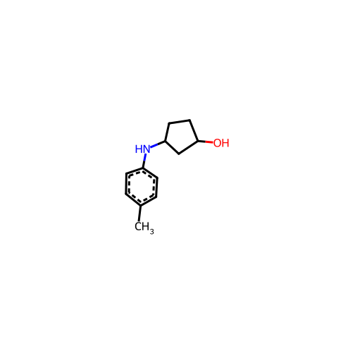 Cc1ccc(NC2CCC(O)C2)cc1